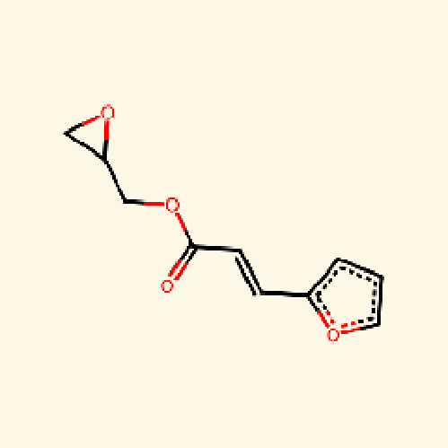 O=C(C=Cc1ccco1)OCC1CO1